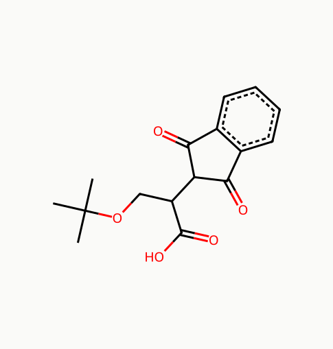 CC(C)(C)OCC(C(=O)O)C1C(=O)c2ccccc2C1=O